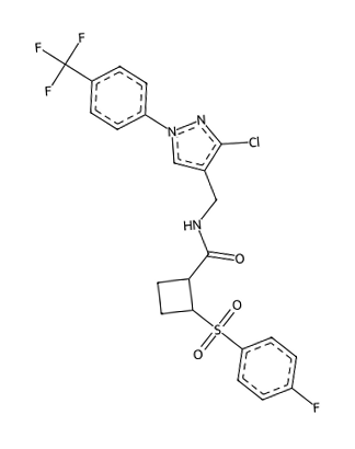 O=C(NCc1cn(-c2ccc(C(F)(F)F)cc2)nc1Cl)C1CCC1S(=O)(=O)c1ccc(F)cc1